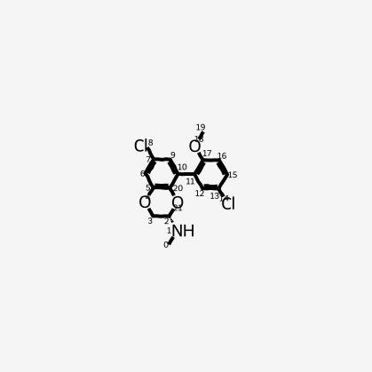 CN[C@@H]1COc2cc(Cl)cc(-c3cc(Cl)ccc3OC)c2O1